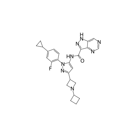 O=C(Nc1cc(C2CN(C3CCC3)C2)nn1-c1ccc(C2CC2)cc1F)c1n[nH]c2cncnc12